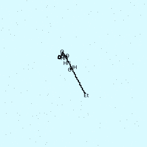 CCC=CCC=CCC=CCC=CCC=CCC=CCCC(=O)NCCNCCCNC(=O)C1=CC(=O)C(C)(c2ccccc2)O1